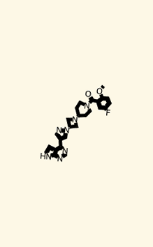 COc1ccc(F)cc1C(=O)N1CCC(N2C[C](n3cc(-c4ncnc5[nH]ccc45)cn3)C2)CC1